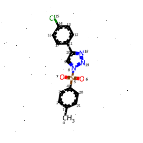 Cc1ccc(S(=O)(=O)n2cc(-c3ccc(Cl)cc3)nn2)cc1